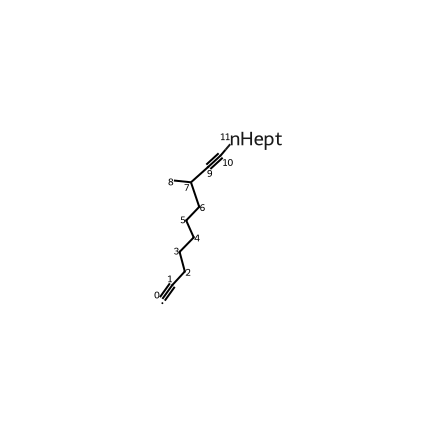 [C]#CCCCCCC(C)C#CCCCCCCC